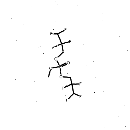 COP(=O)(OCC(F)(F)C(F)F)OCC(F)(F)C(F)F